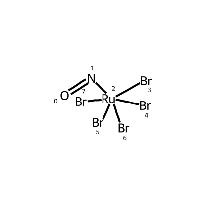 O=[N][Ru]([Br])([Br])([Br])([Br])[Br]